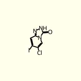 O=c1[nH]nc2cc(I)c(Cl)cn12